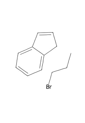 C1=Cc2ccccc2C1.CCCBr